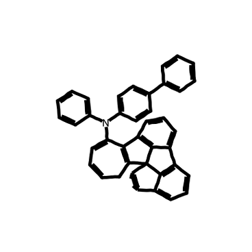 C1=CCC2=C(C(N(c3ccccc3)c3ccc(-c4ccccc4)cc3)=C1)c1cccc3c1C21c2ccccc2-c2cccc-3c21